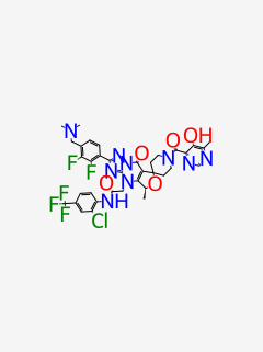 Cc1ncnc(C(=O)N2CCC3(CC2)O[C@@H](C)c2c3c(=O)n3nc(-c4ccc(CN(C)C)c(F)c4F)nc3n2CC(=O)Nc2ccc(C(F)(F)F)cc2Cl)c1O